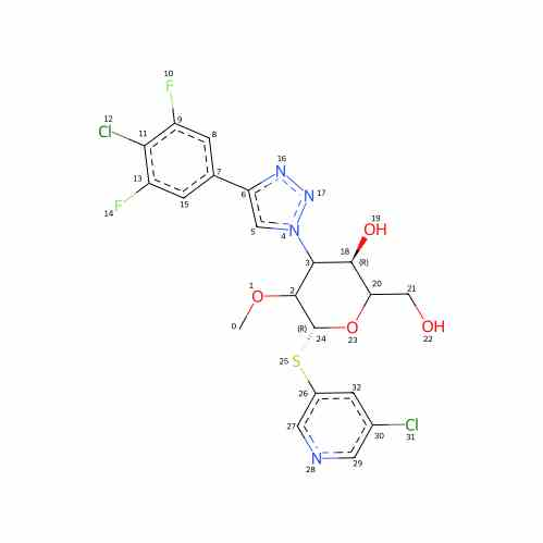 COC1C(n2cc(-c3cc(F)c(Cl)c(F)c3)nn2)[C@@H](O)C(CO)O[C@@H]1Sc1cncc(Cl)c1